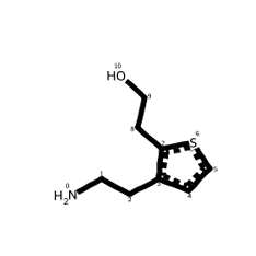 NCCc1ccsc1CCO